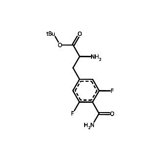 CC(C)(C)OC(=O)C(N)Cc1cc(F)c(C(N)=O)c(F)c1